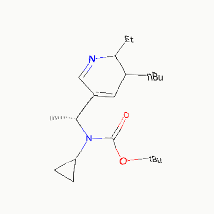 CCCCC1C=C([C@@H](C)N(C(=O)OC(C)(C)C)C2CC2)C=NC1CC